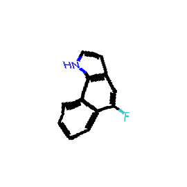 Fc1cc2cc[nH]c2c2ccccc12